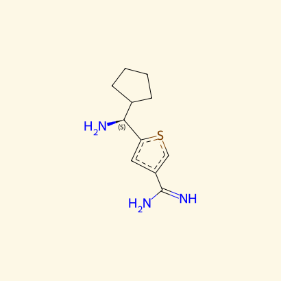 N=C(N)c1csc([C@@H](N)C2CCCC2)c1